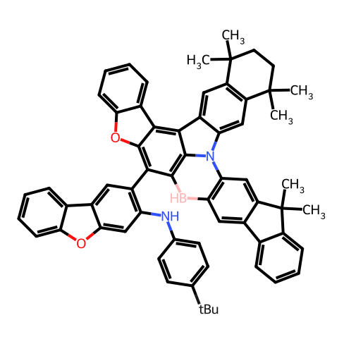 CC(C)(C)c1ccc(Nc2cc3oc4ccccc4c3cc2-c2c3c4c(c5cc6c(cc5n4-c4cc5c(cc4B3)-c3ccccc3C5(C)C)C(C)(C)CCC6(C)C)c3c2oc2ccccc23)cc1